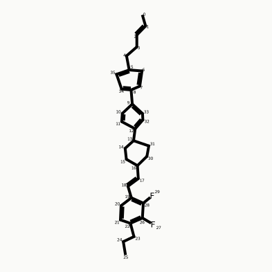 C/C=C/CCc1ccc(-c2ccc(C3CCC(/C=C/c4ccc(CCC)c(F)c4F)CC3)cc2)cc1